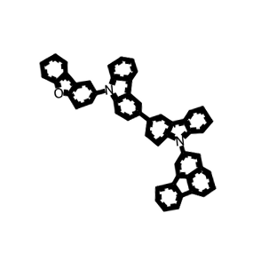 c1ccc2c(c1)-c1cccc3cc(-n4c5ccccc5c5cc(-c6ccc7c(c6)c6ccccc6n7-c6ccc7oc8ccccc8c7c6)ccc54)cc-2c13